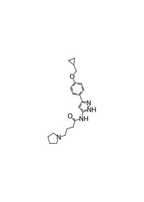 O=C(CCCN1CCCC1)Nc1cc(-c2ccc(OCC3CC3)cc2)n[nH]1